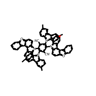 Cc1ccc2c(c1)c1cc(C)ccc1n2-c1c(C#N)c(-n2c3ccccc3c3c4c(ccc32)oc2ccccc24)c(-n2c3ccc(C)cc3c3cc(C)ccc32)c(C#N)c1-n1c2ccccc2c2c3c(ccc21)oc1ccccc13